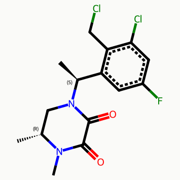 C[C@@H]1CN([C@@H](C)c2cc(F)cc(Cl)c2CCl)C(=O)C(=O)N1C